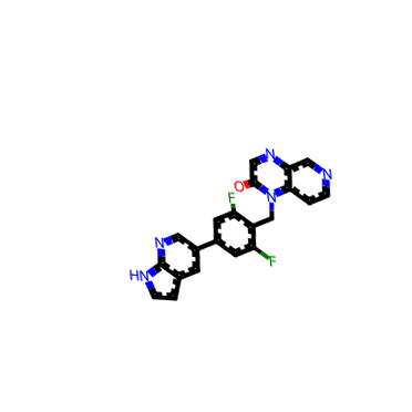 O=c1cnc2cnccc2n1Cc1c(F)cc(-c2cnc3[nH]ccc3c2)cc1F